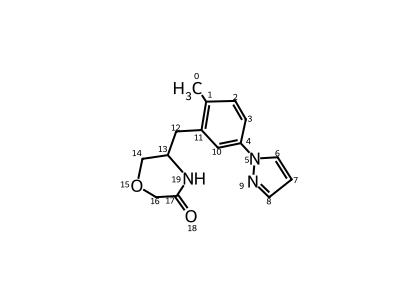 Cc1ccc(-n2cccn2)cc1CC1COCC(=O)N1